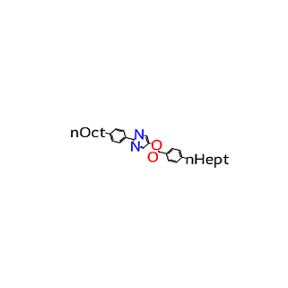 CCCCCCCCc1ccc(-c2ncc(OC(=O)c3ccc(CCCCCCC)cc3)cn2)cc1